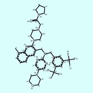 Cc1cccc2cc(CN(Cc3cc(C(F)(F)F)cc(C(F)(F)F)c3)c3ncc(N4CCOCC4)cn3)c(N3CCN(CC(=O)N4CCCC4)CC3)nc12